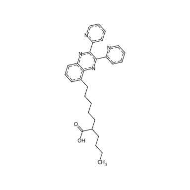 CCCCC(CCCCCc1cccc2nc(-c3ccccn3)c(-c3ccccn3)nc12)C(=O)O